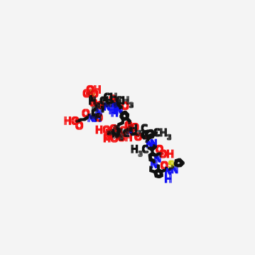 Cc1c(-c2ccc(N3CCc4cccc(C(=O)Nc5nc6ccccc6s5)c4C3)nc2C(=O)O)cnn1CC12CC3(C)CC(C)(C1)CC(OCCN(C)C(=O)OCc1ccc(NC(=O)[C@H](C)NC(=O)[C@@H](NC(=O)CN4C(=O)[C@@H](NC(=O)CCC(=O)O)C[C@H]4COCCS(=O)(=O)O)C(C)C)cc1CC[C@@H]1O[C@H](C(=O)O)[C@@H](O)[C@H](O)[C@H]1O)(C3)C2